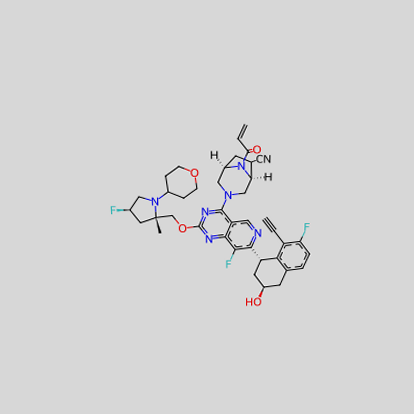 C#Cc1c(F)ccc2c1[C@@H](c1ncc3c(N4C[C@H]5CC(C#N)[C@@H](C4)N5C(=O)C=C)nc(OC[C@]4(C)C[C@@H](F)CN4C4CCOCC4)nc3c1F)C[C@H](O)C2